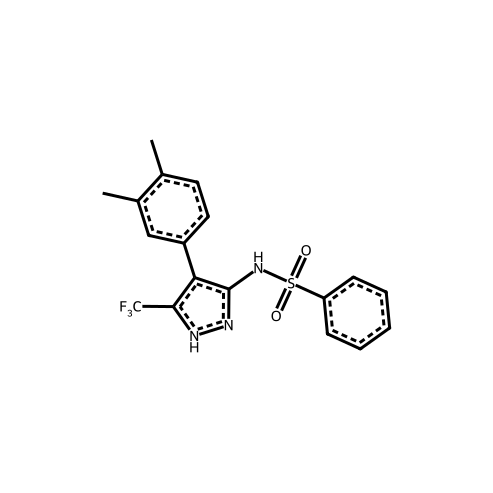 Cc1ccc(-c2c(NS(=O)(=O)c3ccccc3)n[nH]c2C(F)(F)F)cc1C